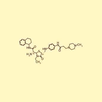 CCN1C(=O)[C@@H](CNc2ccc(NC(=O)CCN3CCN(C)CC3)cc2)SC1[C@H](N)C(=O)NC1CCCc2ccccc21